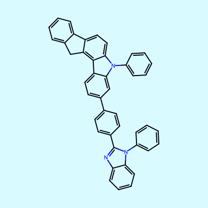 c1ccc(-n2c(-c3ccc(-c4ccc5c6c7c(ccc6n(-c6ccccc6)c5c4)-c4ccccc4C7)cc3)nc3ccccc32)cc1